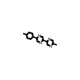 Cc1ccc(-c2cnc(-c3cnc(C)cn3)cn2)cc1